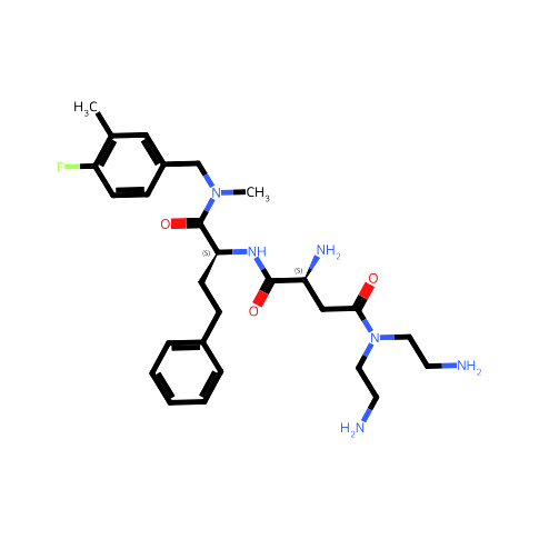 Cc1cc(CN(C)C(=O)[C@H](CCc2ccccc2)NC(=O)[C@@H](N)CC(=O)N(CCN)CCN)ccc1F